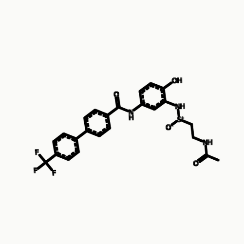 CC(=O)NCC[S+]([O-])Nc1cc(NC(=O)c2ccc(-c3ccc(C(F)(F)F)cc3)cc2)ccc1O